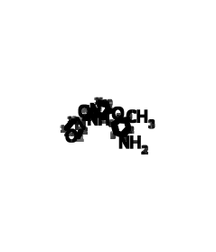 Cc1cc(N)ccc1Oc1ccnc(NC(=O)N2CCOCC2)c1